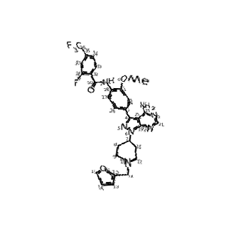 COc1cc(-c2nn(C3CCN(Cc4ccco4)CC3)c3ncnc(N)c23)ccc1NC(=O)c1ccc(C(F)(F)F)cc1F